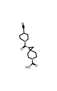 N#CC1CCN(C(=O)[C@H]2CC23CCN(C(=O)O)CC3)CC1